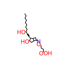 CCCCCCCCC(O)C#CC1C(O)CC2C(=NOCCCC(=O)O)CC21